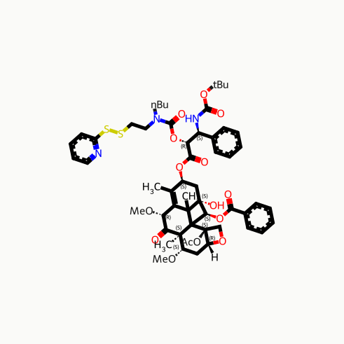 CCCCN(CCSSc1ccccn1)C(=O)O[C@@H](C(=O)O[C@H]1C[C@@]2(O)[C@@H](OC(=O)c3ccccc3)C34C2(C)C(=C1C)[C@@H](OC)C(=O)[C@]3(C)[C@@H](OC)C[C@H]1OC[C@]14OC(C)=O)[C@@H](NC(=O)OC(C)(C)C)c1ccccc1